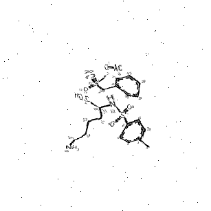 CC(=O)Cl.Cc1ccc(S(=O)(=O)N[C@@H](CCCCN)C(=O)O)cc1.O=S(=O)(F)Cc1ccccc1